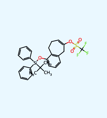 CC(C)(C)[Si](Oc1cccc2c1CCC=C(OS(=O)(=O)C(F)(F)F)C2)(c1ccccc1)c1ccccc1